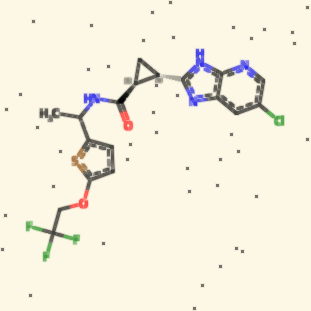 CC(NC(=O)[C@H]1C[C@@H]1c1nc2cc(Cl)cnc2[nH]1)c1ccc(OCC(F)(F)F)s1